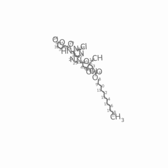 C#C[C@]1(COC(=O)OCCCCCCCCCCCC)OC(n2cnc3c(NC(=O)[C@H]4CCC(=O)O4)nc(Cl)nc32)C[C@@H]1O